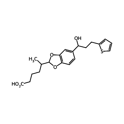 CC(CCCC(=O)O)C1Oc2ccc(C(O)CCc3cccs3)cc2O1